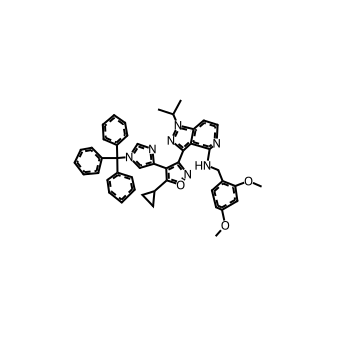 COc1ccc(CNc2nccc3c2c(-c2noc(C4CC4)c2-c2cn(C(c4ccccc4)(c4ccccc4)c4ccccc4)cn2)nn3C(C)C)c(OC)c1